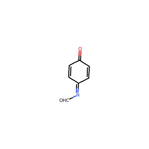 O=CN=C1C=CC(=O)C=C1